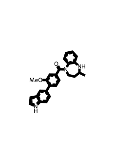 COc1cc(C(=O)N2CCC(C)Nc3ccccc32)ccc1-c1ccc2[nH]ccc2c1